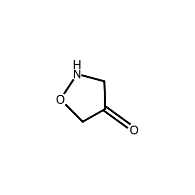 O=C1CNOC1